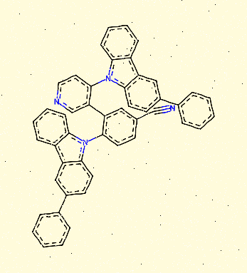 N#Cc1ccc(-n2c3ccccc3c3cc(-c4ccccc4)ccc32)c(-c2cnccc2-n2c3ccccc3c3cc(-c4ccccc4)ccc32)c1